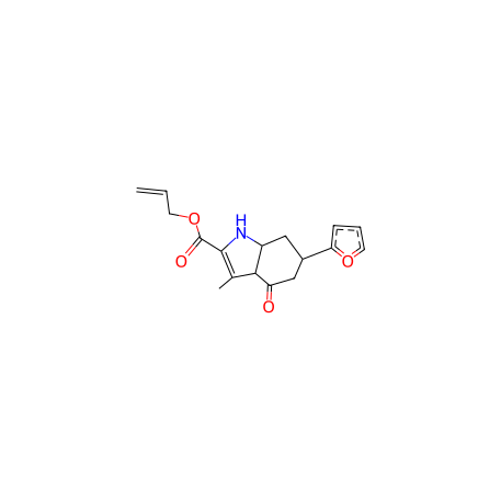 C=CCOC(=O)C1=C(C)C2C(=O)CC(c3ccco3)CC2N1